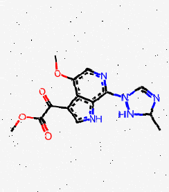 COC(=O)C(=O)c1c[nH]c2c(N3C=NC(C)N3)ncc(OC)c12